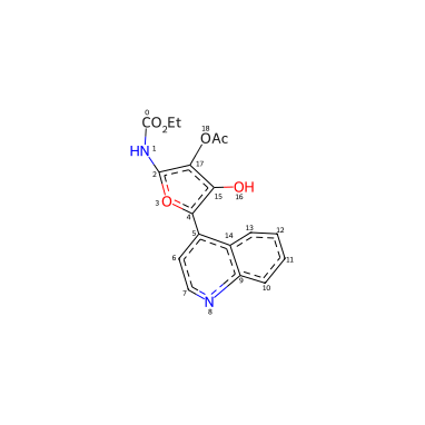 CCOC(=O)Nc1oc(-c2ccnc3ccccc23)c(O)c1OC(C)=O